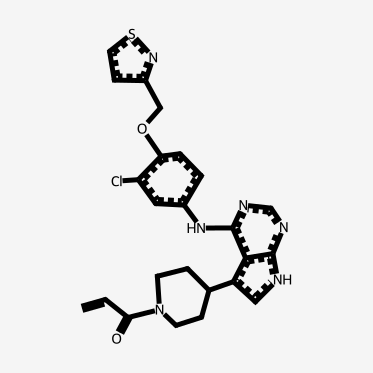 C=CC(=O)N1CCC(c2c[nH]c3ncnc(Nc4ccc(OCc5ccsn5)c(Cl)c4)c23)CC1